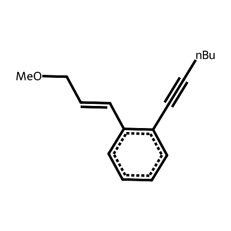 CCCCC#Cc1ccccc1C=CCOC